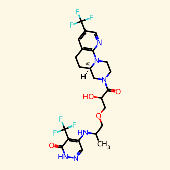 CC(COCC(O)C(=O)N1CCN2c3ncc(C(F)(F)F)cc3CC[C@@H]2C1)Nc1cn[nH]c(=O)c1C(F)(F)F